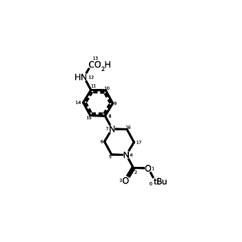 CC(C)(C)OC(=O)N1CCN(c2ccc(NC(=O)O)cc2)CC1